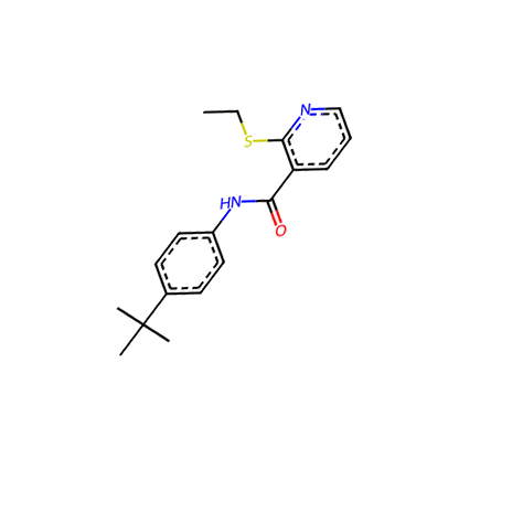 CCSc1ncccc1C(=O)Nc1ccc(C(C)(C)C)cc1